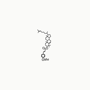 COc1ccc(/C=C/C(=O)OC2CCC3(C)C(=CCC4C3CCC3(C)C(C(C)CCCC=C(C)C)CCC43)C2(C)C)cc1